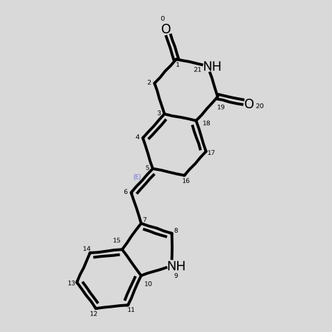 O=C1CC2=C/C(=C/c3c[nH]c4ccccc34)CC=C2C(=O)N1